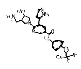 NCC1CN(c2ncc(C(=O)Nc3ccc(OC(F)(F)Cl)cc3)cc2-c2ccn[nH]2)CC1O